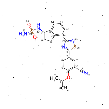 CC(C)Oc1ccc(-c2nc(-c3cccc4c3CC[C@H]4NS(N)(=O)=O)ns2)cc1C#N